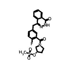 CS(=O)(=O)O[C@@H]1CCN(C(=O)c2cc(Cc3n[nH]c(=O)c4ccccc34)ccc2F)C1